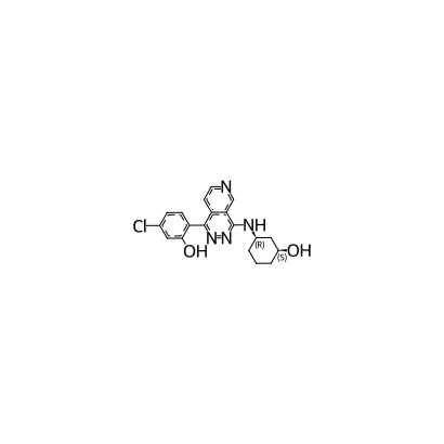 Oc1cc(Cl)ccc1-c1nnc(N[C@@H]2CCC[C@H](O)C2)c2cnccc12